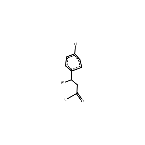 CC(C)C(CC(=O)Cl)c1ccc(Cl)cc1